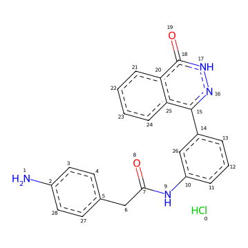 Cl.Nc1ccc(CC(=O)Nc2cccc(-c3n[nH]c(=O)c4ccccc34)c2)cc1